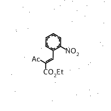 CCOC(=O)C(=Cc1ccccc1[N+](=O)[O-])C(C)=O